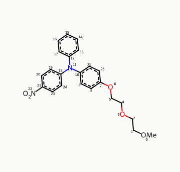 COCCOCCOc1ccc(N(c2ccccc2)c2ccc([N+](=O)[O-])cc2)cc1